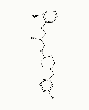 Nc1ccccc1OCC(O)CNC1CCN(Cc2cccc(Cl)c2)CC1